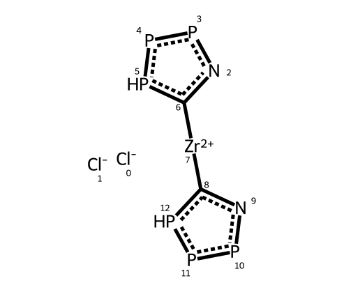 [Cl-].[Cl-].n1pp[pH][c]1[Zr+2][c]1npp[pH]1